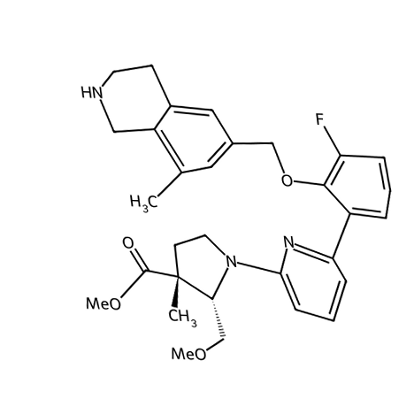 COC[C@H]1N(c2cccc(-c3cccc(F)c3OCc3cc(C)c4c(c3)CCNC4)n2)CC[C@@]1(C)C(=O)OC